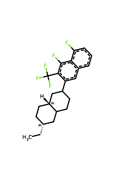 CC[C@@H]1CC[C@@H]2CC(c3cc4cccc(F)c4c(F)c3C(F)(F)F)CCC2C1